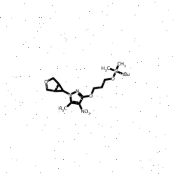 Cc1c([N+](=O)[O-])c(OCCCO[Si](C)(C)C(C)(C)C)nn1C1C2COCC21